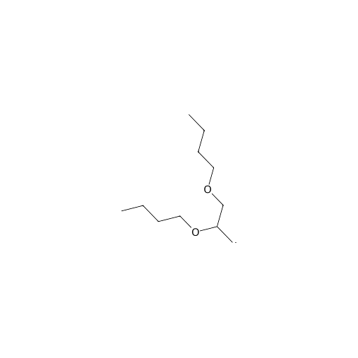 [CH2]C(COCCCC)OCCCC